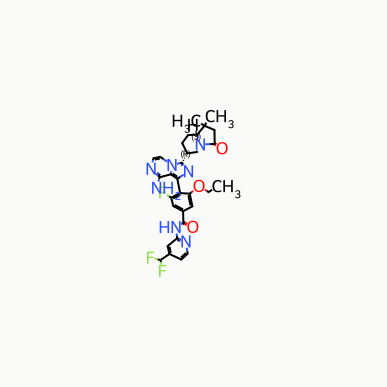 CCOc1cc(C(=O)Nc2cc(C(F)F)ccn2)cc(F)c1-c1nc([C@@H]2CC[C@@H]3N(C2)C(=O)CC3(C)C)n2ccnc(N)c12